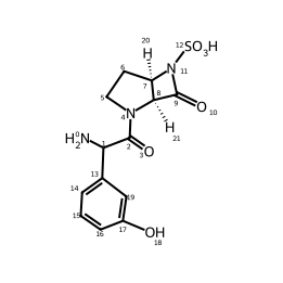 NC(C(=O)N1CC[C@@H]2[C@H]1C(=O)N2S(=O)(=O)O)c1cccc(O)c1